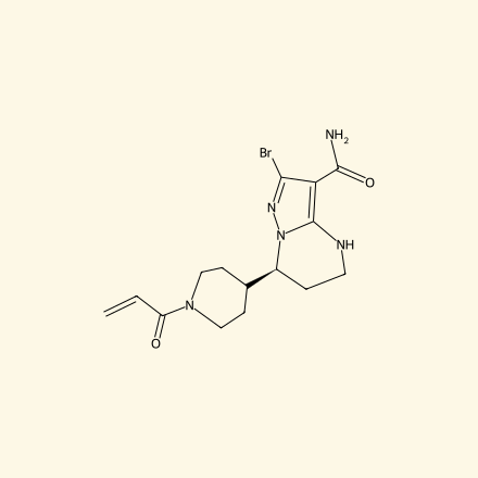 C=CC(=O)N1CCC([C@@H]2CCNc3c(C(N)=O)c(Br)nn32)CC1